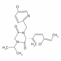 C=C(/C=C\C(Cl)=C/C)[C@@H]1C(=O)N(C(C)C)CC(=O)N1Cc1ccc(Cl)cn1